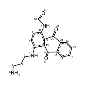 NCCCNc1ccc(NC=O)c2c1C(=O)c1ccccc1C2=O